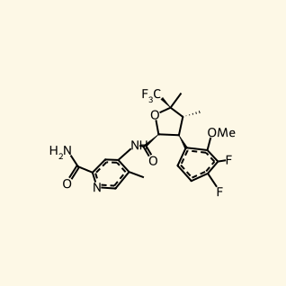 COc1c([C@H]2[C@@H](C(=O)Nc3cc(C(N)=O)ncc3C)O[C@@](C)(C(F)(F)F)[C@@H]2C)ccc(F)c1F